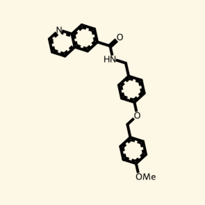 COc1ccc(COc2ccc(CNC(=O)c3ccc4ncccc4c3)cc2)cc1